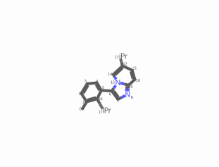 Cc1cccc(-c2cnc3ccc(C(C)C)cn23)c1C(C)C